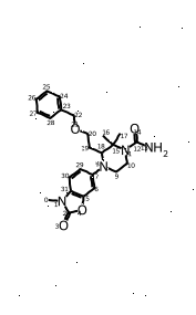 Cn1c(=O)oc2cc(N3CCN(C(N)=O)C(C)(C)C3CCOCc3ccccc3)ccc21